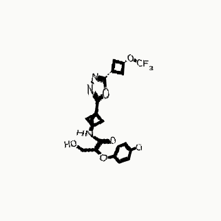 O=C(NC12CC(c3nnc([C@H]4C[C@@H](OC(F)(F)F)C4)o3)(C1)C2)C(CO)Oc1ccc(Cl)cc1